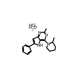 Cc1nc(N2CCCCC2C)c2[nH]c(-c3ccccc3)cc2n1.Cl.O